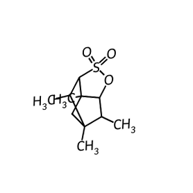 CC1C2OS(=O)(=O)C3C(C)C1(C)CC23C